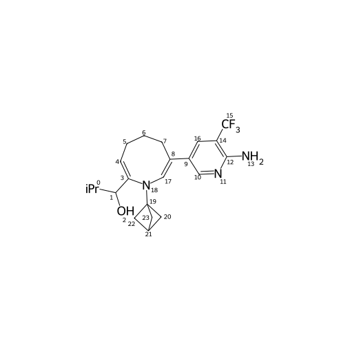 CC(C)C(O)/C1=C/CCC/C(c2cnc(N)c(C(F)(F)F)c2)=C\N1C12CC(C1)C2